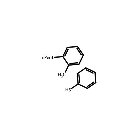 CCCCCc1ccccc1C.Sc1ccccc1